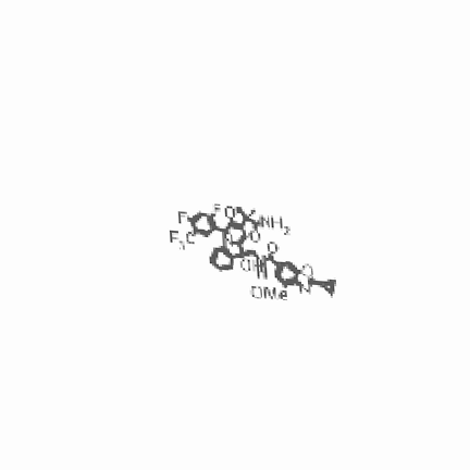 COc1cc(C(=O)NC[C@@](O)(c2ccccc2)c2cc3c(c(-c4cc(C(F)(F)F)c(F)cc4F)n2)OC[C@]3(C)C(N)=O)cc2oc(C3CC3)nc12